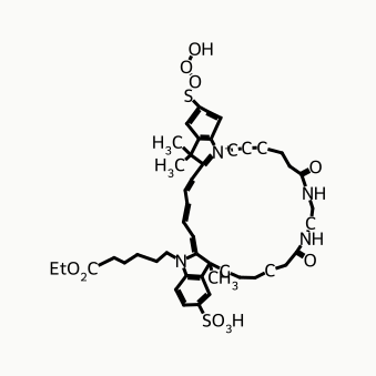 CCOC(=O)CCCCCN1\C2=C/C=C/C=C/C3=[N+](CCCCCC(=O)NCCNC(=O)CCCCCC2(C)c2cc(S(=O)(=O)O)ccc21)c1ccc(SOOO)cc1C3(C)C